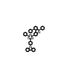 c1ccc(-c2nc(-c3ccc(-n4c5ccccc5c5ccccc54)cc3)nc(-c3ccc4nc(-c5ccccc5)c5cccc(-c6ccccc6)c5c4c3)n2)cc1